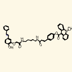 C[n+]1c2ccccc2c(C(=O)Oc2ccc(CCC(=O)NCCCCCNC(=O)COc3cc(/C=C/c4ccccc4)ccc3O)cc2)c2ccccc21